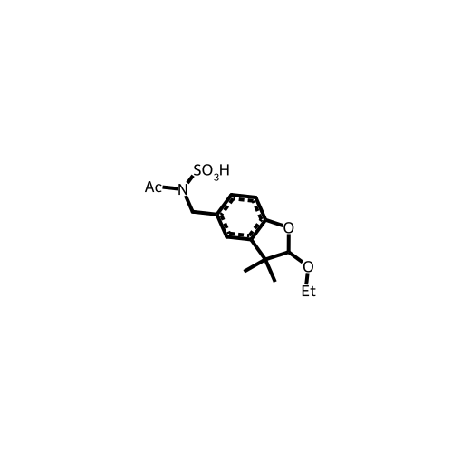 CCOC1Oc2ccc(CN(C(C)=O)S(=O)(=O)O)cc2C1(C)C